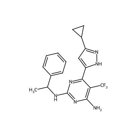 CC(Nc1nc(N)c(C(F)(F)F)c(-c2cc(C3CC3)n[nH]2)n1)c1ccccc1